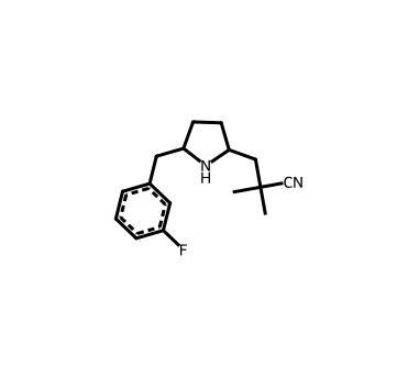 CC(C)(C#N)CC1CCC(Cc2cccc(F)c2)N1